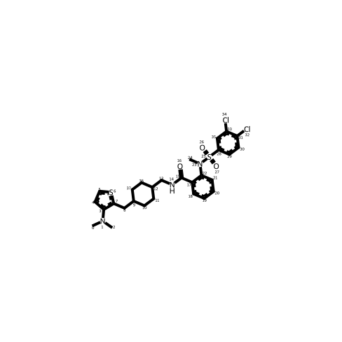 CN(C)c1ccsc1CC1CCC(CNC(=O)c2ccccc2N(C)S(=O)(=O)c2ccc(Cl)c(Cl)c2)CC1